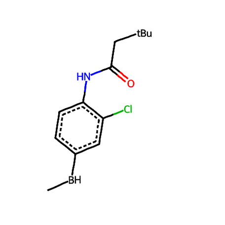 CBc1ccc(NC(=O)CC(C)(C)C)c(Cl)c1